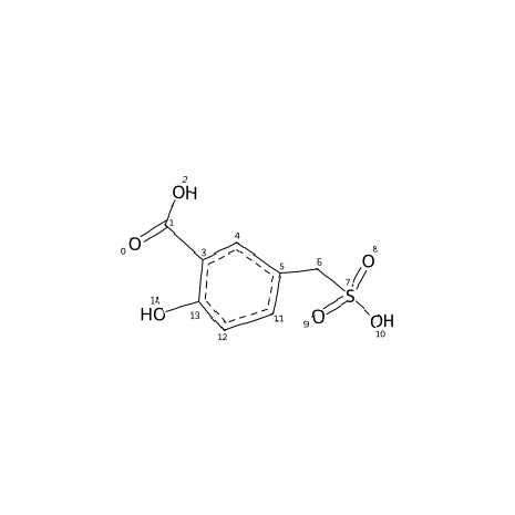 O=C(O)c1cc(CS(=O)(=O)O)ccc1O